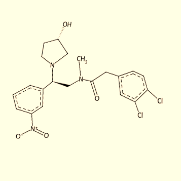 CN(C[C@@H](c1cccc([N+](=O)[O-])c1)N1CC[C@H](O)C1)C(=O)Cc1ccc(Cl)c(Cl)c1